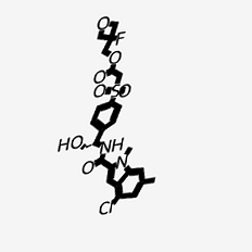 Cc1cc(Cl)c2cc(C(=O)N[C@H](CO)c3ccc(S(=O)(=O)CC(=O)OCC4(F)COC4)cc3)n(C)c2c1